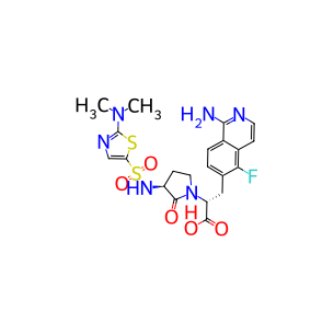 CN(C)c1ncc(S(=O)(=O)N[C@H]2CCN([C@H](Cc3ccc4c(N)nccc4c3F)C(=O)O)C2=O)s1